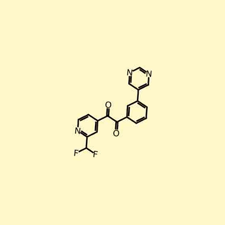 O=C(C(=O)c1ccnc(C(F)F)c1)c1cccc(-c2cncnc2)c1